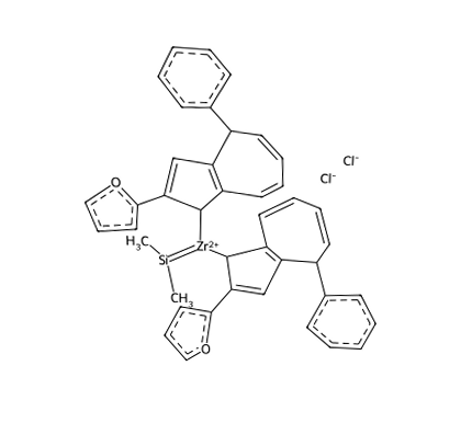 C[Si](C)=[Zr+2]([CH]1C(c2ccco2)=CC2=C1C=CC=CC2c1ccccc1)[CH]1C(c2ccco2)=CC2=C1C=CC=CC2c1ccccc1.[Cl-].[Cl-]